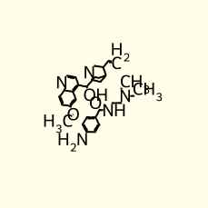 C=CC1CN2CCC1CC2C(O)c1ccnc2ccc(OC)cc12.CCN(CC)CCNC(=O)c1ccc(N)cc1